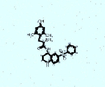 Cc1cc(O)cc(C)c1C[C@H](N)C(=O)N[C@@H]1CCNc2ccc(S(=O)(=O)c3ccccc3)cc21